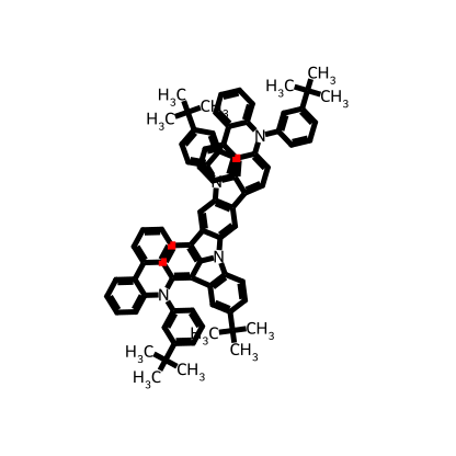 CC(C)(C)c1cccc(N(c2ccccc2-c2ccccc2)c2ccc3c4cc5c(cc4n4c6ccc(C(C)(C)C)cc6c2c34)c2ccc(N(c3cccc(C(C)(C)C)c3)c3ccccc3-c3ccccc3)c3c4cc(C(C)(C)C)ccc4n5c23)c1